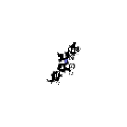 CCC(C)/C(=C\c1ccc(N2CCN(CC)[C@H](C)C2)cc1C(C)=O)c1cn2cc(C)ncc2n1